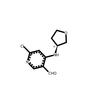 O=Cc1cnc(Cl)cc1N[C@H]1CCOC1